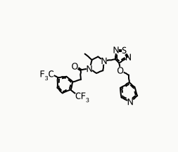 CC1CN(c2nsnc2OCc2ccncc2)CCN1C(=O)Cc1cc(C(F)(F)F)ccc1C(F)(F)F